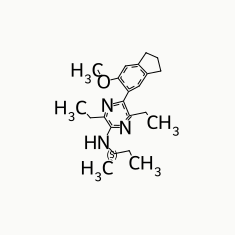 CCc1nc(-c2cc3c(cc2OC)CCC3)c(CC)nc1N[C@@H](C)CC